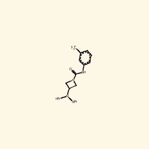 CCCN(CCC)C1CN(C(=O)Nc2cccc(C(F)(F)F)c2)C1